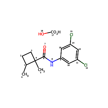 CC1CCC1(C)C(=O)Nc1cc(Cl)cc(Cl)c1.O=C(O)O